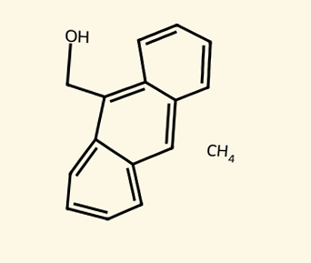 C.OCc1c2ccccc2cc2ccccc12